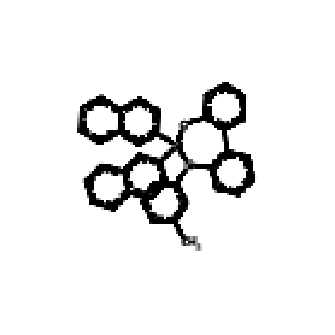 Cc1cccc(N2c3ccccc3-c3ccccc3O[Si]2(c2ccc3ccccc3c2)c2ccc3ccccc3c2)c1